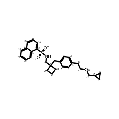 O=S(=O)(NCC1(Cc2ccc(CCOCC3CC3)cc2)CCC1)c1cccc2ccccc12